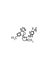 Cc1ccc(-c2cnccn2)c(C(=O)N2CCC[C@@H](C)[C@H]2CNc2ccc(C(F)(F)F)cn2)c1